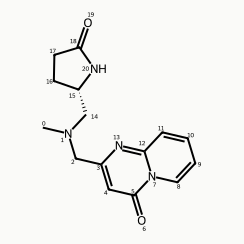 CN(Cc1cc(=O)n2ccccc2n1)C[C@@H]1CCC(=O)N1